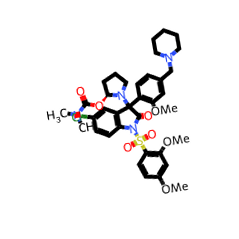 COc1ccc(S(=O)(=O)N2C(=O)C(c3ccc(CN4CCCCC4)cc3OC)(N3CCC[C@@H]3OC(=O)N(C)C)c3cc(Cl)ccc32)c(OC)c1